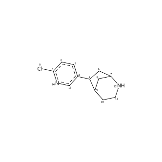 Clc1ccc(C2CC3CC2CCN3)cn1